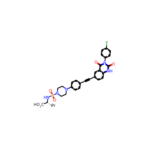 CC(C)[C@@H](NS(=O)(=O)N1CCN(c2ccc(C#Cc3ccc4[nH]c(=O)n(-c5ccc(F)cc5)c(=O)c4c3)cc2)CC1)C(=O)O